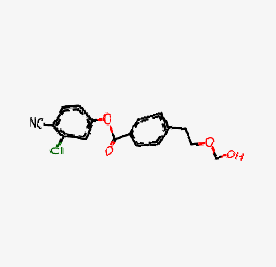 N#Cc1ccc(OC(=O)c2ccc(CCOCO)cc2)cc1Cl